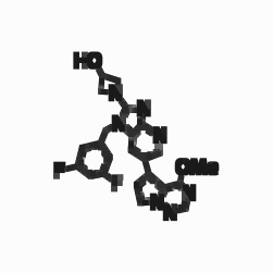 COc1ncnn2ccc(-c3cnc4nc(N5CC(O)C5)n(Cc5cc(F)cc(F)c5)c4c3)c12